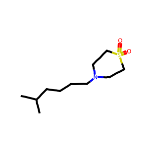 CC(C)CCCCN1CCS(=O)(=O)CC1